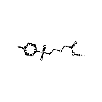 Cc1ccc(S(=O)(=O)CCOCC(=O)OC(C)(C)C)cc1